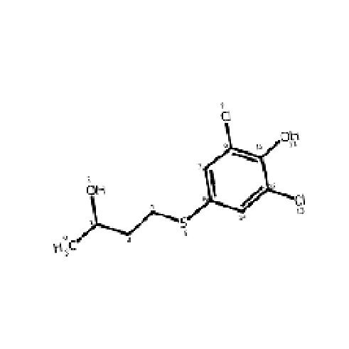 CC(O)CCSc1cc(Cl)c(O)c(Cl)c1